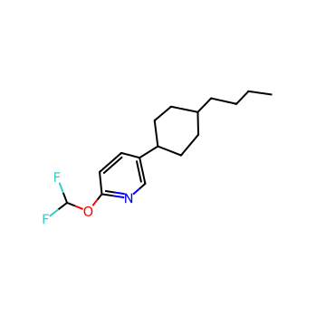 CCCCC1CCC(c2ccc(OC(F)F)nc2)CC1